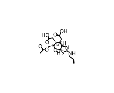 C=CCNC1=N[C@@H]2[C@H](CC(=O)O)[C@H](CC(=O)O)[C@H](COC(C)=O)O[C@@H]2S1